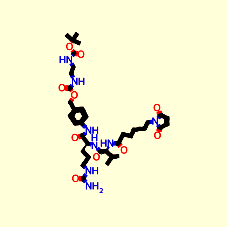 CC(C)[C@H](NC(=O)CCCCCN1C(=O)C=CC1=O)C(=O)N[C@@H](CCCNC(N)=O)C(=O)Nc1ccc(COC(=O)NCCNC(=O)OC(C)(C)C)cc1